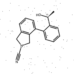 C[C@H](O)c1ccccc1-c1cccc2c1CN(C#N)C2